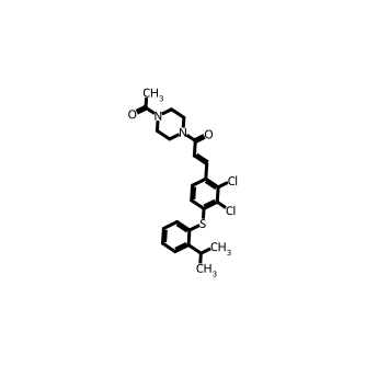 CC(=O)N1CCN(C(=O)C=Cc2ccc(Sc3ccccc3C(C)C)c(Cl)c2Cl)CC1